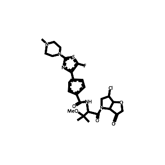 COC(C)(C)C(NC(=O)c1ccc(-c2nc(N3CCN(C)CC3)sc2F)cc1)C(=O)N1CC(Cl)C2OCC(=O)C21